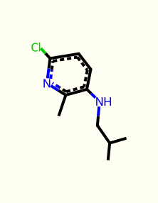 Cc1nc(Cl)ccc1NCC(C)C